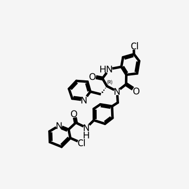 O=C(Nc1ccc(CN2C(=O)c3ccc(Cl)cc3NC(=O)[C@H]2Cc2ccccn2)cc1)c1ncccc1Cl